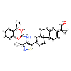 Cc1nsc(-c2ccc3c(c2)CCc2cc(C4(C=O)CC4)ccc2-3)c1NC(=O)O[C@H](C)c1ccccc1